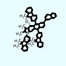 Cc1c(C)n(-c2ccc3c(c2)C(C)(C)c2ccccc2-3)c2cc3c(-c4ccc5c(c4)C(C)(C)c4ccccc4-5)c4ccc(-c5ccc6ccccc6c5)cc4c(-c4ccc5c(c4)C(C)(C)c4ccccc4-5)c3cc12